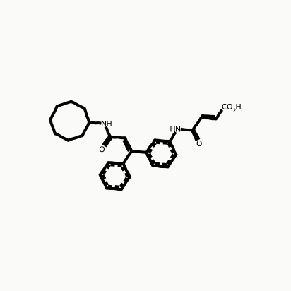 O=C(O)C=CC(=O)Nc1cccc(C(=CC(=O)NC2CCCCCCC2)c2ccccc2)c1